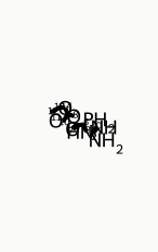 N=C(N)NC(P)C(=O)OC1COCCO1